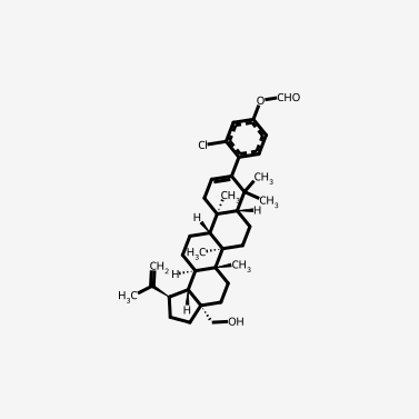 C=C(C)[C@@H]1CC[C@]2(CO)CC[C@]3(C)[C@H](CC[C@@H]4[C@@]5(C)CC=C(c6ccc(OC=O)cc6Cl)C(C)(C)[C@@H]5CC[C@]43C)[C@@H]12